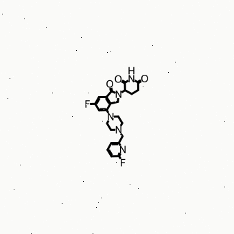 O=C1CCC(N2Cc3c(cc(F)cc3N3CCN(Cc4cccc(F)n4)CC3)C2=O)C(=O)N1